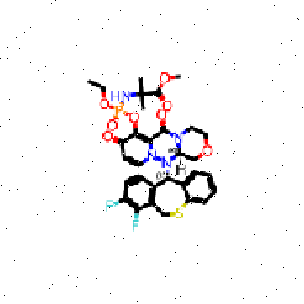 CCOP(=O)(NC(C)(C)C(=O)OC)Oc1c2n(ccc1=O)N([C@H]1c3c#cc(F)c(F)c3CSc3ccccc31)[C@@H]1COCCN1C2=O